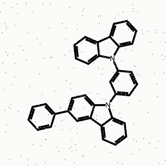 c1ccc(-c2ccc3c(c2)c2ccccc2n3-c2cccc(-n3c4ccccc4c4ccccc43)c2)cc1